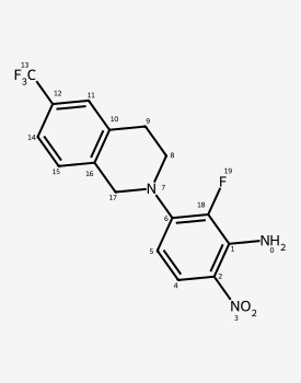 Nc1c([N+](=O)[O-])ccc(N2CCc3cc(C(F)(F)F)ccc3C2)c1F